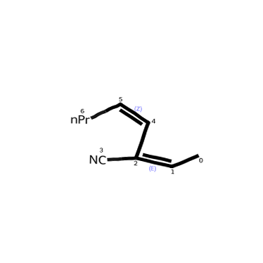 C/C=C(C#N)\C=C/CCC